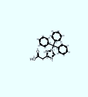 O=C(O)Cc1ncn(C(c2ccccc2)(c2ccccc2)c2ccccc2)n1